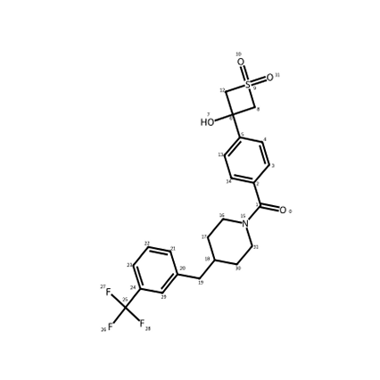 O=C(c1ccc(C2(O)CS(=O)(=O)C2)cc1)N1CCC(Cc2cccc(C(F)(F)F)c2)CC1